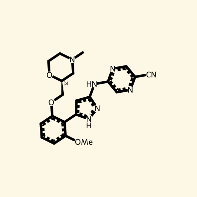 COc1cccc(OC[C@@H]2CN(C)CCO2)c1-c1cc(Nc2cnc(C#N)cn2)n[nH]1